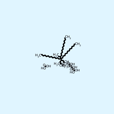 CCCCCCCCCCCCCC(CC)C(CCCCCCCCCCCCC)(CCCCCCCCCCCCC)C1CC(C)(C)N(C)C(C)(C)C1.O=C(O)O.O=C(O)O.O=C(O)O.O=C(O)O